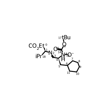 CCOC(=O)[C@@H](N=C[C@H](CC1CCCCC1)[NH+]([O-])C(=O)OC(C)(C)C)C(C)C